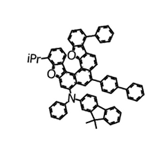 CC(C)c1cccc2c1oc1cc(N(c3ccccc3)c3ccc4c(c3)C(C)(C)c3ccccc3-4)c3cc(-c4ccc(-c5ccccc5)cc4)c4ccc5c(oc6cccc(-c7ccccc7)c65)c4c3c12